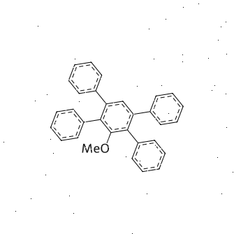 COc1c(-c2ccccc2)c(-c2ccccc2)cc(-c2ccccc2)c1-c1ccccc1